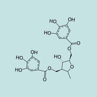 CC1O[C@H](COC(=O)c2cc(O)c(O)c(O)c2)[C@@H](O)[C@@H]1COC(=O)c1cc(O)c(O)c(O)c1